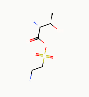 C[C@@H](O)[C@H](N)C(=O)OS(=O)(=O)CCN